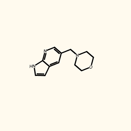 c1cc2cc(CN3CCOCC3)cnc2[nH]1